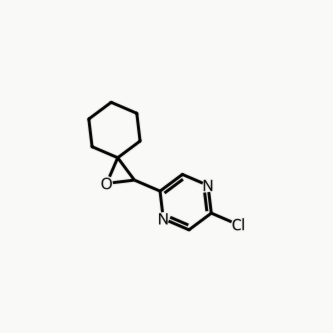 Clc1cnc(C2OC23CCCCC3)cn1